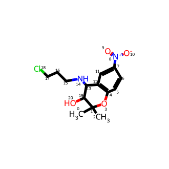 CC1(C)Oc2ccc([N+](=O)[O-])cc2C(NCCCCl)C1O